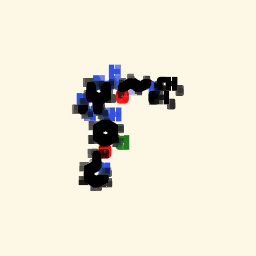 CN(C)C/C=C/C(=O)Nc1cc2c(Nc3ccc(OCc4ccccn4)c(Cl)c3)ncnc2cn1